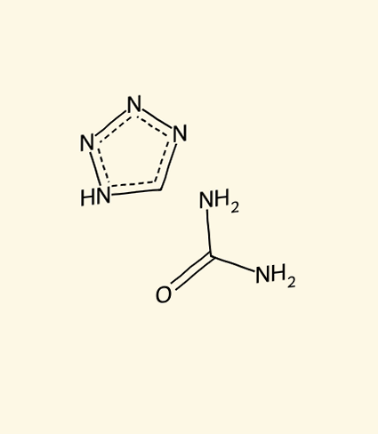 NC(N)=O.c1nnn[nH]1